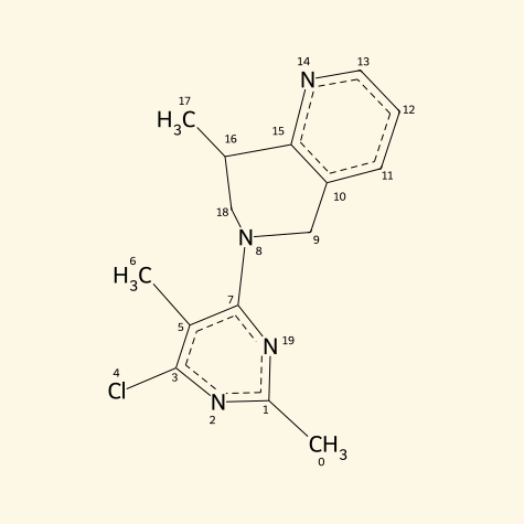 Cc1nc(Cl)c(C)c(N2Cc3cccnc3C(C)C2)n1